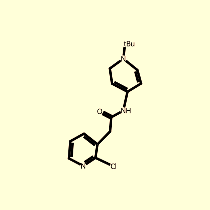 CC(C)(C)N1C=CC(NC(=O)Cc2cccnc2Cl)=CC1